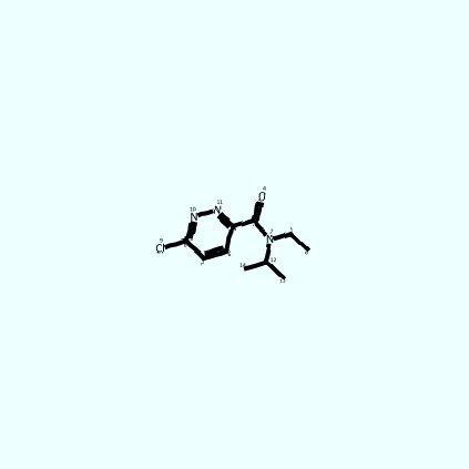 CCN(C(=O)c1ccc(Cl)nn1)C(C)C